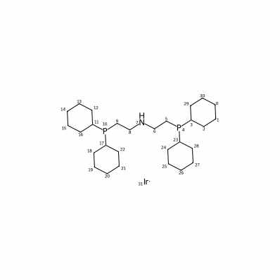 C1CCC(P(CCNCCP(C2CCCCC2)C2CCCCC2)C2CCCCC2)CC1.[Ir]